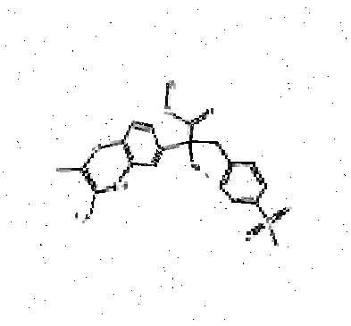 CC1=C(N)Nc2cc(C(N)(Cc3ccc(S(C)(=O)=O)cc3)C(=O)OC(C)(C)C)ccc2O1